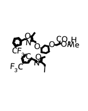 COC(CO[C@@H]1CCC[C@H](OCc2nc(-c3cccc(C(F)(F)F)c3)oc2C)C1)C(=O)O.Cc1oc(-c2cccc(C(F)(F)F)c2)nc1CI